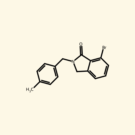 Cc1ccc(CN2Cc3cccc(Br)c3C2=O)cc1